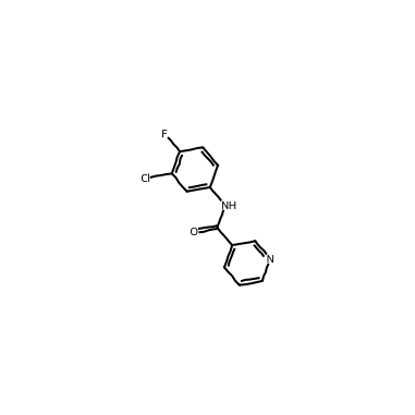 O=C(Nc1ccc(F)c(Cl)c1)c1cccnc1